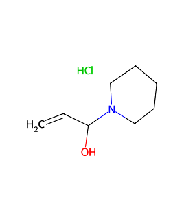 C=CC(O)N1CCCCC1.Cl